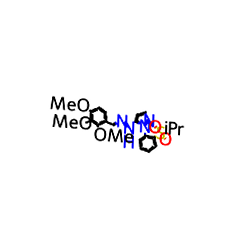 COc1ccc(/C=N/Nc2ccnn2-c2ccccc2S(=O)(=O)C(C)C)c(OC)c1OC